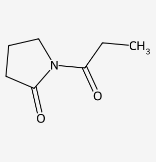 CCC(=O)N1CCCC1=O